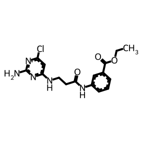 CCOC(=O)c1cccc(NC(=O)CCNc2cc(Cl)nc(N)n2)c1